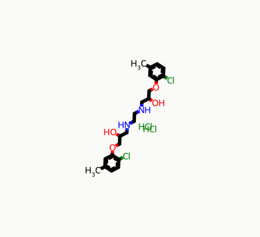 Cc1ccc(Cl)c(OCC(O)CNCCNCC(O)COc2cc(C)ccc2Cl)c1.Cl.Cl